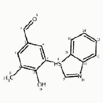 Cc1cc(C=O)cc([SH]2C=Nc3ccccc32)c1O